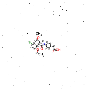 CCOc1cc2c(F)ccc(OCC)c2c2c1CN(c1ccc(CC(=O)O)cc1)C2=O